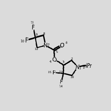 CC(C)N1CC(OC(=O)N2CC(F)(F)C2)C(F)(F)C1